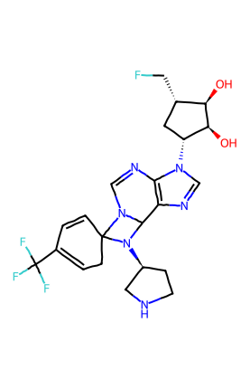 O[C@@H]1[C@@H](CF)C[C@@H](n2cnc3c2N=CN2C3N([C@H]3CCNC3)C23C=CC(C(F)(F)F)=CC3)[C@@H]1O